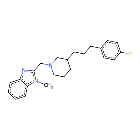 Cn1c(CN2CCCC(CCCc3ccc(F)cc3)C2)nc2ccccc21